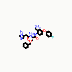 NCc1cc(Oc2ccc(F)cc2)ccc1NC(=O)[C@H](COCc1ccccc1)NC(=O)Cc1cnc[nH]1